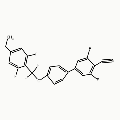 CCc1cc(F)c(C(F)(F)Oc2ccc(-c3cc(F)c(C#N)c(F)c3)cc2)c(F)c1